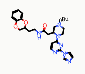 CCCCN1CCN(c2ccnc(-n3ccnc3)n2)C(CC(=O)NCCC2COc3ccccc3O2)C1